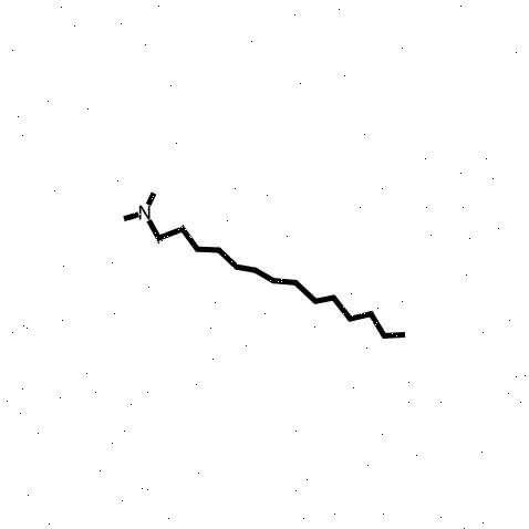 CCCCCCCCCCCCC[CH]N(C)C